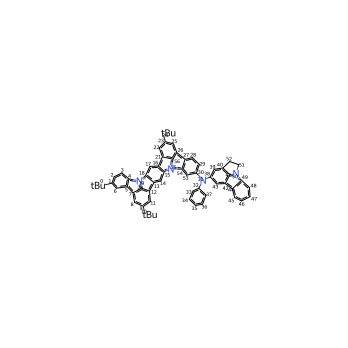 CC(C)(C)c1ccc2c(c1)c1cc(C(C)(C)C)cc3c4cc5c(cc4n2c13)c1cc(C(C)(C)C)cc2c3ccc(N(c4ccccc4)c4cc6c7c(c4)c4ccccc4n7CC6)cc3n5c21